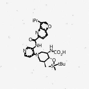 CC(C)c1coc2ccc(C(=O)Nc3cnccc3N3C[C@H](C)[C@@H](O[Si](C)(C)C(C)(C)C)[C@H](NC(=O)O)C3)nc12